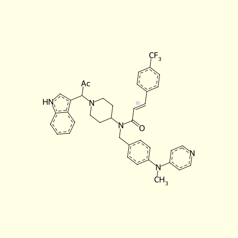 CC(=O)C(c1c[nH]c2ccccc12)N1CCC(N(Cc2ccc(N(C)c3ccncc3)cc2)C(=O)/C=C/c2ccc(C(F)(F)F)cc2)CC1